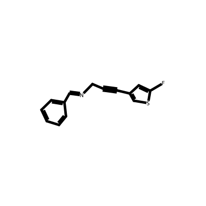 Fc1cc(C#CCN=Cc2ccccc2)cs1